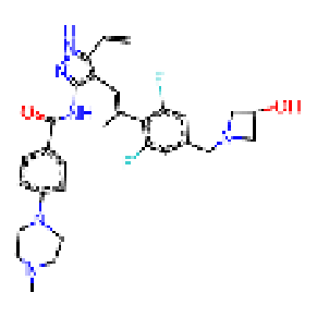 C=Cc1[nH]nc(NC(=O)c2ccc(N3CCN(C)CC3)cc2)c1/C=C(\C)c1c(F)cc(CN2CC(O)C2)cc1F